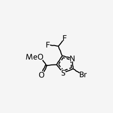 COC(=O)c1sc(Br)nc1C(F)F